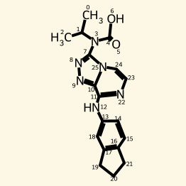 CC(C)N(C(=O)O)c1nnc2c(Nc3ccc4c(c3)CCC4)nccn12